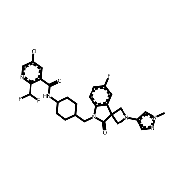 Cn1cc(N2CC3(C2)C(=O)N(CC2CCC(NC(=O)c4cc(Cl)cnc4C(F)F)CC2)c2ccc(F)cc23)cn1